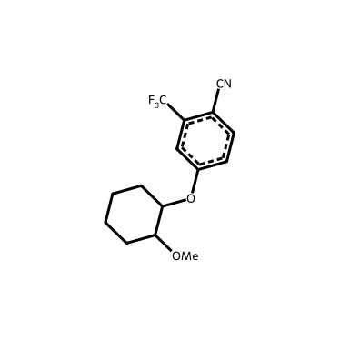 COC1CCCCC1Oc1ccc(C#N)c(C(F)(F)F)c1